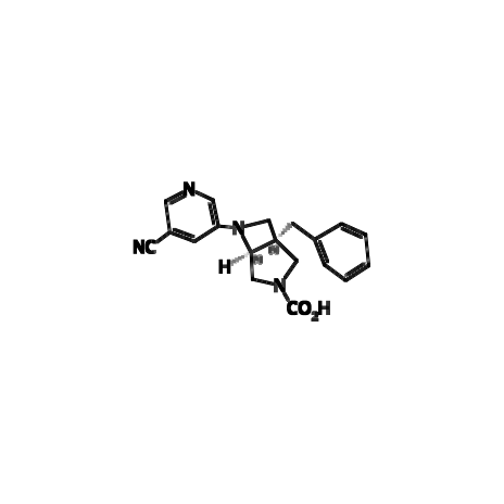 N#Cc1cncc(N2C[C@@]3(Cc4ccccc4)CN(C(=O)O)C[C@@H]23)c1